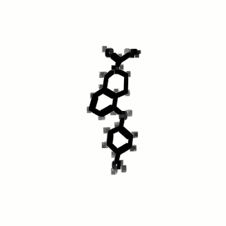 CC(C)C(=O)N1CCc2c(cccc2Oc2ccc(C(F)(F)F)cc2)C1